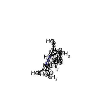 CN(O)C(=O)C1=CN(CCCSO)C2=N/C(=C/C=C/C=C/C3=NC4C(=CC(C(=O)N(C)OCC(=O)ON5C(=O)CCC5=O)=CN4CCCSO)C3(C)C)C(C)(C)C2=C1